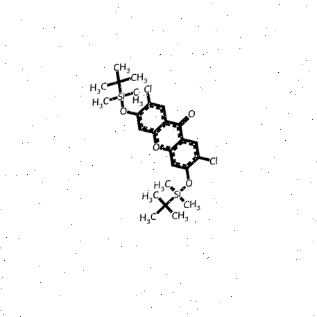 CC(C)(C)[Si](C)(C)Oc1cc2oc3cc(O[Si](C)(C)C(C)(C)C)c(Cl)cc3c(=O)c2cc1Cl